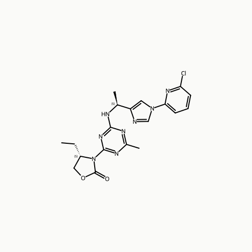 CC[C@H]1COC(=O)N1c1nc(C)nc(N[C@@H](C)c2cn(-c3cccc(Cl)n3)cn2)n1